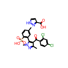 Cc1ccc(S(=O)(=O)O)c(-c2c(C(=O)c3ccc(Cl)cc3Cl)c(C)nn2C)c1.O=C(O)c1cc[nH]n1